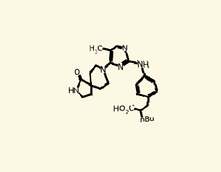 CCCCC(Cc1ccc(Nc2ncc(C)c(N3CCC4(CCNC4=O)CC3)n2)cc1)C(=O)O